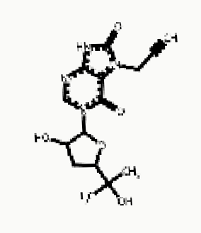 C#CCn1c(=O)[nH]c2ncn(C3OC(C(C)(C)O)CC3O)c(=O)c21